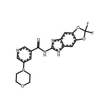 O=C(Nc1nc2cc3c(cc2[nH]1)OC(F)(F)O3)c1cncc(N2CCOCC2)c1